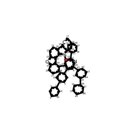 c1ccc(-c2ccc(-c3cccc(-n4c5ccccc5c5ccc6oc7cccc(-c8nc(-c9ccccc9)nc(-c9cccc(-c%10ccccc%10)c9)n8)c7c6c54)c3)cc2)cc1